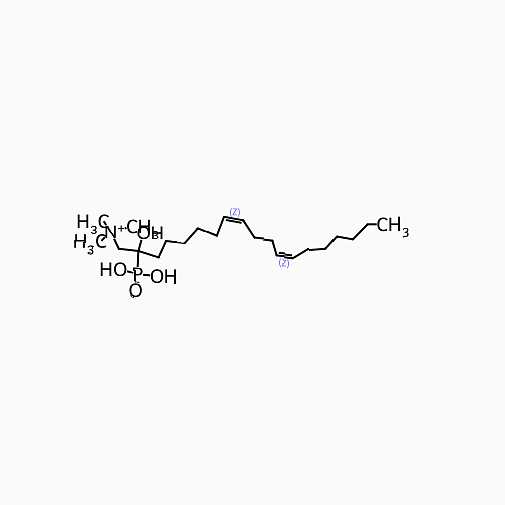 CCCCCC/C=C\CC/C=C\CCCCCC(O)(C[N+](C)(C)C)P(=O)(O)O